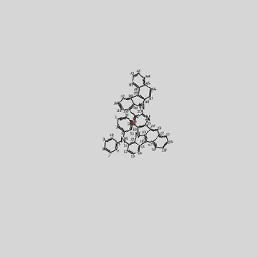 c1ccc(N(c2ccccc2)c2cccc3c4c5ccccc5cc5c6nc7c(nc6n(c23)c54)c2cccc3c4c5ccccc5ccc4n7c23)cc1